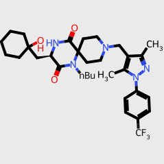 CCCCN1C(=O)[C@@H](CC2(O)CCCCC2)NC(=O)C12CCN(Cc1c(C)nn(-c3ccc(C(F)(F)F)cc3)c1C)CC2